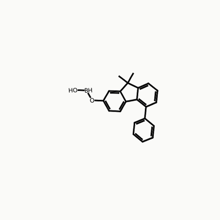 CC1(C)c2cc(OBO)ccc2-c2c(-c3ccccc3)cccc21